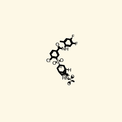 Cc1cc(F)c(F)cc1NC(=O)c1ccc(Cl)c(S(=O)(=O)[C@@H]2CC3C[C@H](C)[C@@H](C2)[C@@]3(O)CNS(C)(=O)=O)c1